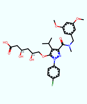 COc1cc(CN(C)C(=O)c2nn(-c3ccc(F)cc3)c(OC[C@@H](O)C[C@@H](O)CC(=O)O)c2C(C)C)cc(OC)c1